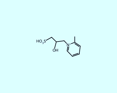 Cc1cccc[n+]1CC(O)CS(=O)(=O)O